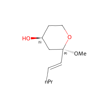 CCCC=C[C@@]1(OC)C[C@@H](O)CCO1